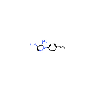 Cc1ccc(-n2ncc(N)c2N)cc1